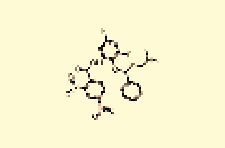 CN(C)CCC(Oc1ccc(F)cc1F)c1ccccc1.O=C(O)c1ccc([N+](=O)[O-])cc1[N+](=O)[O-]